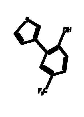 Oc1ccc(C(F)(F)F)cc1-c1ccsc1